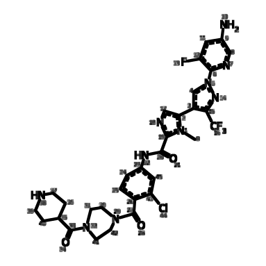 Cn1c(-c2cn(-c3ncc(N)cc3F)nc2C(F)(F)F)cnc1C(=O)Nc1ccc(C(=O)N2CCN(C(=O)C3CCNCC3)CC2)c(Cl)c1